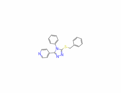 c1ccc(CSc2nnc(-c3ccncc3)n2-c2ccccc2)cc1